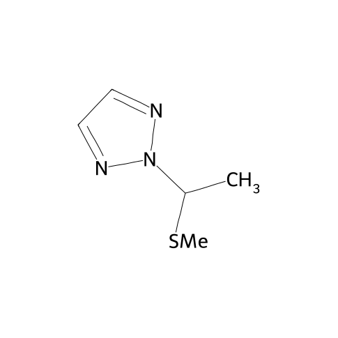 CSC(C)n1nccn1